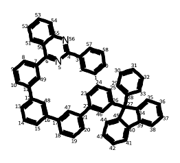 c1ccc(-c2nc(-c3cccc(-c4cccc(-c5cccc(-c6cccc(C7(c8ccccc8)c8ccccc8-c8ccccc87)c6)c5)c4)c3)c3ccccc3n2)cc1